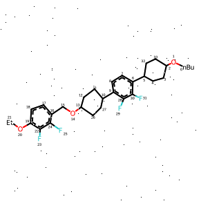 CCCCOC1CCC(c2ccc(C3CCC(OCc4ccc(OCC)c(F)c4F)CC3)c(F)c2F)CC1